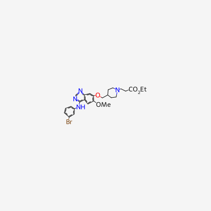 CCOC(=O)CCN1CCC(COc2cc3ncnc(Nc4cccc(Br)c4)c3cc2OC)CC1